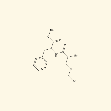 CC(=O)CNCC(C(=O)NC(Cc1ccccc1)C(=O)OC(C)(C)C)C(C)C